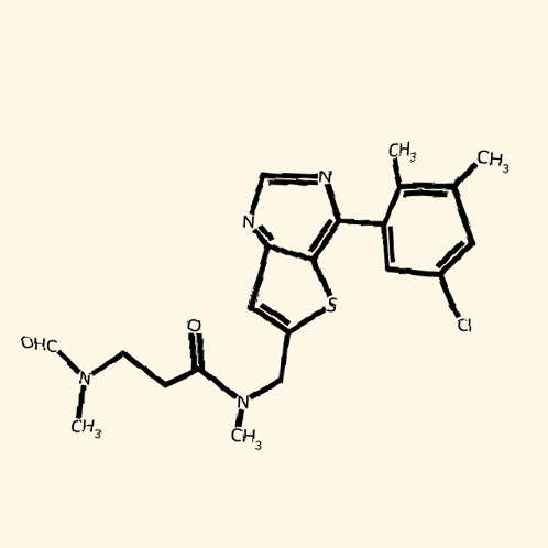 Cc1cc(Cl)cc(-c2ncnc3cc(CN(C)C(=O)CCN(C)C=O)sc23)c1C